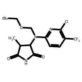 CC1C(=O)NC(=O)C1N(COCC(C)(C)C)c1ccc(C(F)(F)F)c(Cl)n1